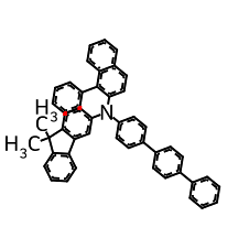 CC1(C)c2ccccc2-c2cc(N(c3ccc(-c4ccc(-c5ccccc5)cc4)cc3)c3ccc4ccccc4c3-c3ccccc3)ccc21